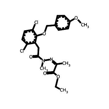 CCOC(=O)C(C)=NN(C)C(=O)Cc1c(Cl)ccc(Cl)c1OCc1ccc(OC)cc1